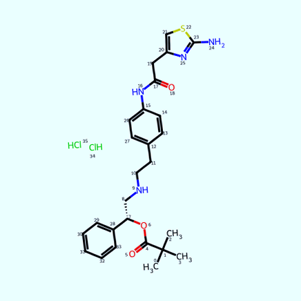 CC(C)(C)C(=O)O[C@@H](CNCCc1ccc(NC(=O)Cc2csc(N)n2)cc1)c1ccccc1.Cl.Cl